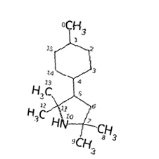 CC1CCC(C2CC(C)(C)NC2(C)C)CC1